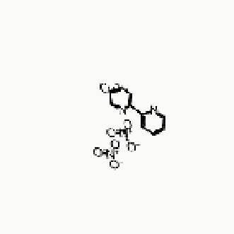 O=[N+]([O-])[O-].O=[N+]([O-])[O-].[Cu+2].c1ccc(-c2ccccn2)nc1